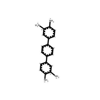 Nc1ccc(-c2ccc(-c3ccc(N)c(N)c3)cc2)cc1N